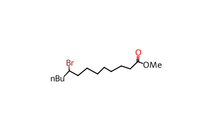 CCCCC(Br)CCCCCCCC(=O)OC